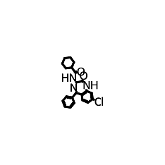 O=C(NC1N=C(c2ccccc2)c2ccc(Cl)cc2NC1=O)C1CCCCC1